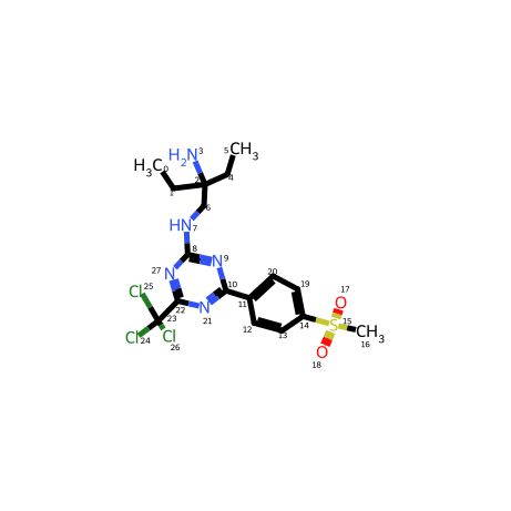 CCC(N)(CC)CNc1nc(-c2ccc(S(C)(=O)=O)cc2)nc(C(Cl)(Cl)Cl)n1